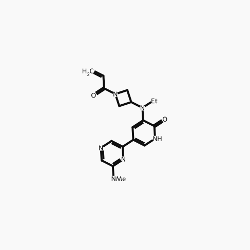 C=CC(=O)N1CC(N(CC)c2cc(-c3cncc(NC)n3)c[nH]c2=O)C1